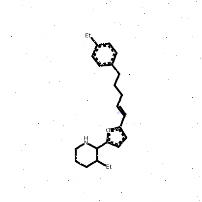 CCc1ccc(CCC/C=C/c2ccc(C3NCCCC3CC)o2)cc1